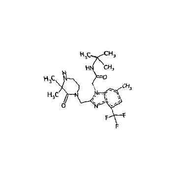 Cc1cc(C(F)(F)F)c2nc(CN3CCNC(C)(C)C3=O)n(CC(=O)NC(C)(C)C)c2c1